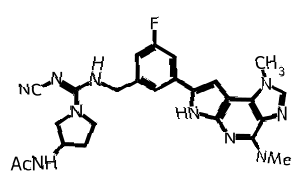 CNc1nc2[nH]c(-c3cc(F)cc(CNC(=NC#N)N4CCC(NC(C)=O)C4)c3)cc2c2c1ncn2C